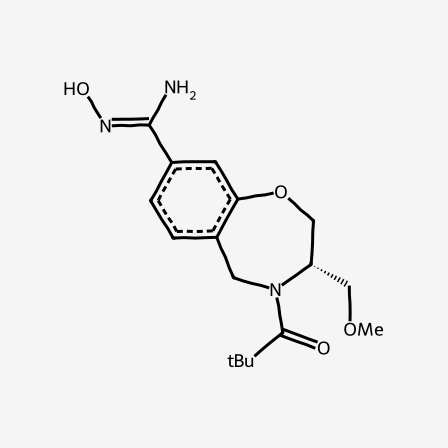 COC[C@H]1COc2cc(C(N)=NO)ccc2CN1C(=O)C(C)(C)C